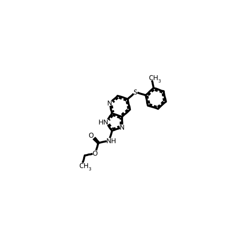 CCOC(=O)Nc1nc2cc(Sc3ccccc3C)cnc2[nH]1